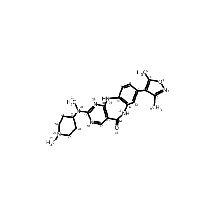 Cc1noc(C)c1-c1ccc2c(c1)NC(=O)c1cnc(N(C)C3CCN(C)CC3)nc1N2